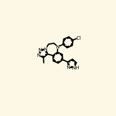 Cc1nnn2c1-c1ccc(-c3cc[nH]n3)cc1N(c1ccc(Cl)cc1)CC2